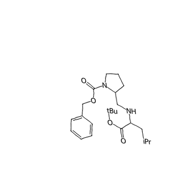 CC(C)CC(NCC1CCCN1C(=O)OCc1ccccc1)C(=O)OC(C)(C)C